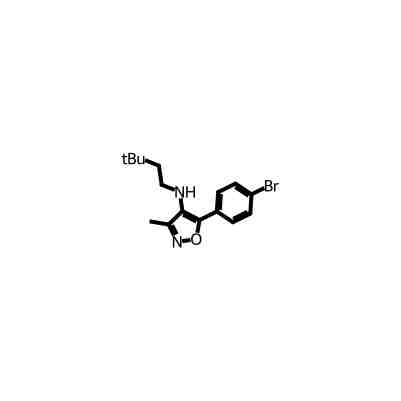 Cc1noc(-c2ccc(Br)cc2)c1NCCC(C)(C)C